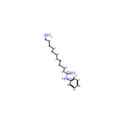 NCCCCCCCCCCCC(N)Nc1ccccc1